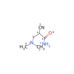 CN(C)CC(C#N)C(N)=O